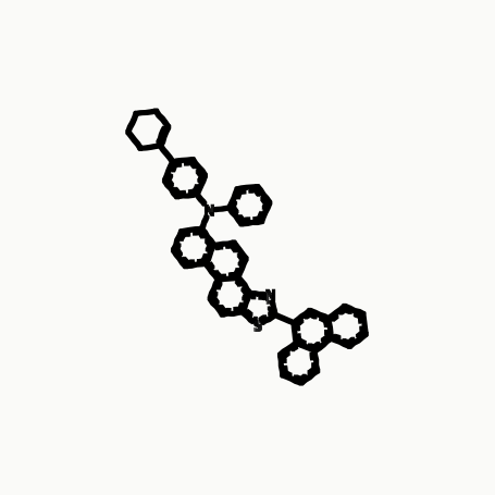 C1=C(c2ccc(N(c3ccccc3)c3cccc4c3ccc3c4ccc4sc(-c5cc6ccccc6c6ccccc56)nc43)cc2)CCCC1